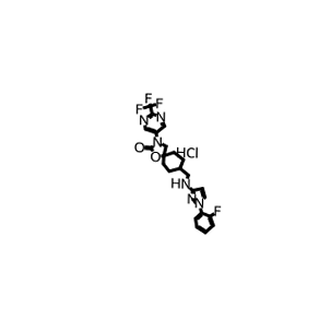 Cl.O=C1OC2(CCC(CNc3ccn(-c4ccccc4F)n3)CC2)CN1c1cnc(C(F)(F)F)nc1